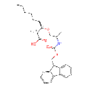 CCCCCC[C@@H](OCC(C)NC(=O)OCC1c2ccccc2-c2ccccc21)[C@@H](C)C(=O)O